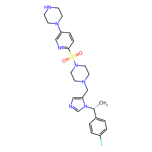 C[C@H](c1ccc(F)cc1)n1cncc1CN1CCN(S(=O)(=O)c2ccc(N3CCNCC3)cn2)CC1